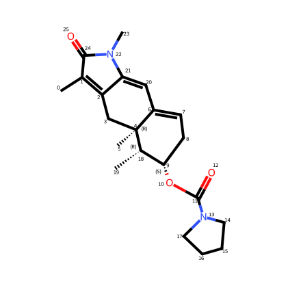 CC1=C2C[C@@]3(C)C(=CC[C@H](OC(=O)N4CCCC4)[C@@H]3C)C=C2N(C)C1=O